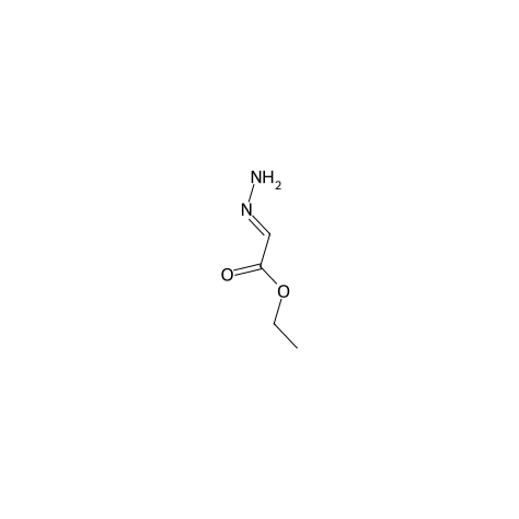 CCOC(=O)C=NN